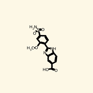 COc1cc(S(N)(=O)=O)ccc1-c1nc2cc(C(=O)O)ccc2[nH]1